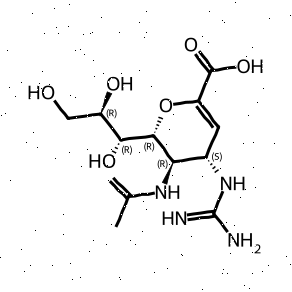 C=C(C)N[C@H]1[C@H]([C@H](O)[C@H](O)CO)OC(C(=O)O)=C[C@@H]1NC(=N)N